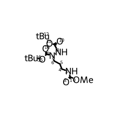 COC(=O)NCCCN(NC(=O)OC(C)(C)C)C(=O)OC(C)(C)C